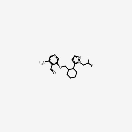 Cc1cncc(OCC2CCCCC2c2ccnn2CC(F)F)c1C=O